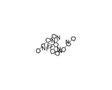 N#Cc1cc(-n2c3ccccc3c3ccc(-c4ccc(-c5ccccc5)nc4)cc32)c(-c2c(C#N)cccc2C(F)(F)F)cc1-n1c2ccccc2c2ccc(-c3ccc(-c4ccccc4)nc3)cc21